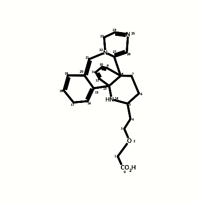 O=C(O)COCCC1CCC23C=CC=CC2(N1)C1=CCC=CC1=CN1CC=NC=C13